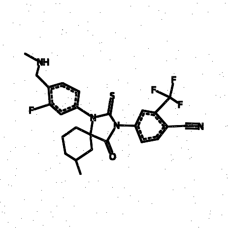 CNCc1ccc(N2C(=S)N(c3ccc(C#N)c(C(F)(F)F)c3)C(=O)C23CCCC(C)C3)cc1F